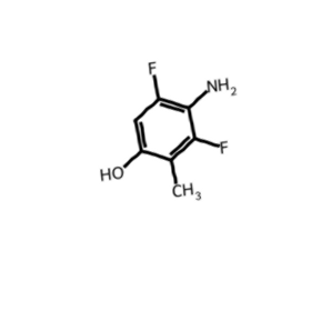 Cc1c(O)cc(F)c(N)c1F